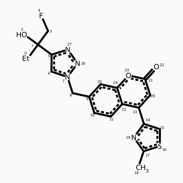 CCC(O)(CF)c1cn(Cc2ccc3c(-c4csc(C)n4)cc(=O)oc3c2)nn1